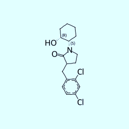 O=C1C(Cc2ccc(Cl)cc2Cl)CCN1[C@H]1CCCC[C@H]1O